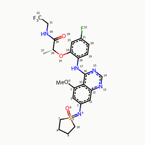 COc1cc(N=S2(=O)CCCC2)cc2ncnc(Nc3ccc(F)cc3O[C@H](C)C(=O)NCC(F)(F)F)c12